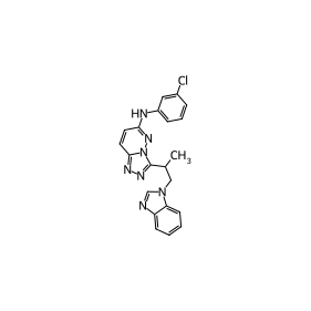 CC(Cn1cnc2ccccc21)c1nnc2ccc(Nc3cccc(Cl)c3)nn12